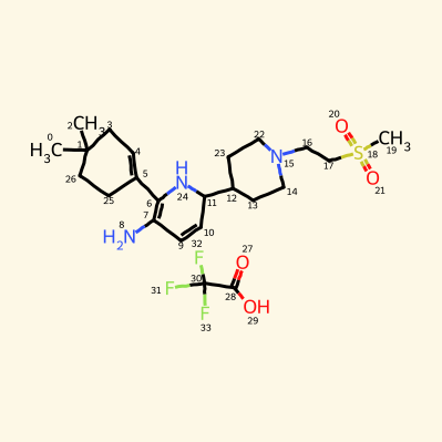 CC1(C)CC=C(C2=C(N)C=CC(C3CCN(CCS(C)(=O)=O)CC3)N2)CC1.O=C(O)C(F)(F)F